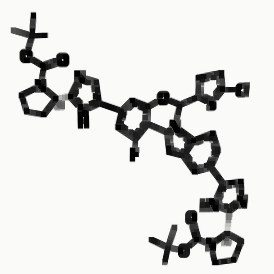 CC(C)(C)OC(=O)N1CCC[C@H]1c1ncc(-c2cc(F)c3c(c2)OC(c2ccc(Cl)s2)n2c-3cc3cc(-c4cnc([C@@H]5CCCN5C(=O)OC(C)(C)C)[nH]4)ccc32)[nH]1